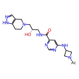 CC(=O)N1CC(Nc2cc(C(=O)NC[C@H](O)CN3CCc4[nH]ncc4C3)ncn2)C1